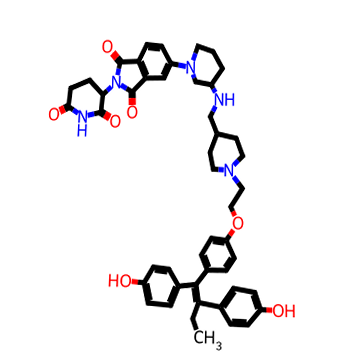 CCC(=C(c1ccc(O)cc1)c1ccc(OCCN2CCC(CNC3CCCN(c4ccc5c(c4)C(=O)N(C4CCC(=O)NC4=O)C5=O)C3)CC2)cc1)c1ccc(O)cc1